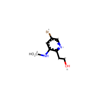 O=C(O)Nc1cc(Br)cnc1CCO